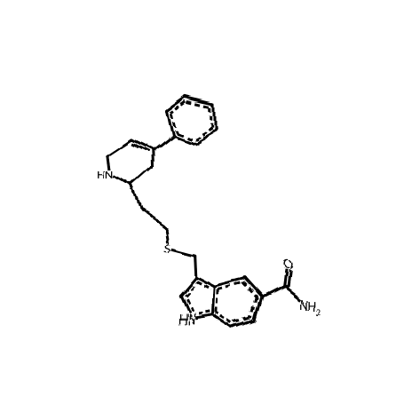 NC(=O)c1ccc2[nH]cc(CSCCC3CC(c4ccccc4)=CCN3)c2c1